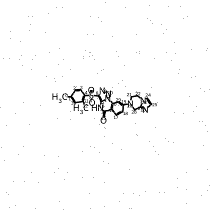 Cc1ccc(S(=O)(=O)c2nnn3c2[nH]c(=O)c2ccc(N4CCn5ccnc5C4)cc23)c(C)c1